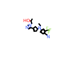 CCN(c1ccc(C#N)c(C(F)(F)F)c1)C1CC=C(c2cncn2CC(C)O)C1